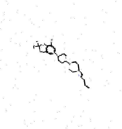 CCC/C=C/[C@H]1CC[C@H]([C@H]2CC[C@H](c3cc(F)c(OC(F)(F)F)c(F)c3)CC2)CC1